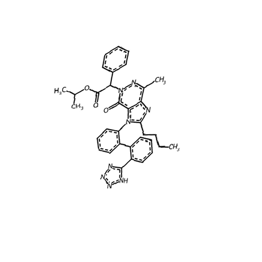 CCCCc1nc2c(C)nn(C(C(=O)OC(C)C)c3ccccc3)c(=O)c2n1-c1ccccc1-c1ccccc1-c1nnn[nH]1